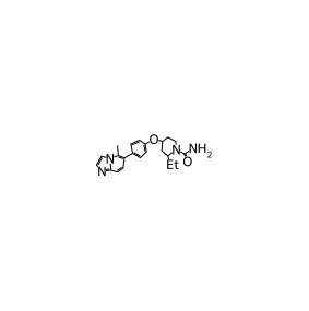 CCC1CC(Oc2ccc(-c3ccc4nccn4c3C)cc2)CCN1C(N)=O